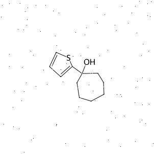 OC1(c2cccs2)CCCCCC1